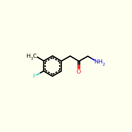 Cc1cc(CC(=O)CN)ccc1F